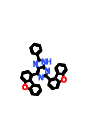 c1ccc(-c2nc3c(-c4cccc5oc6ccccc6c45)nc(-c4cccc5oc6ccccc6c45)nc3[nH]2)cc1